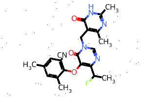 Cc1cc(C)c(Oc2c(C(C)F)ncn(Cc3c(C)nc(C)[nH]c3=O)c2=O)c(C#N)c1